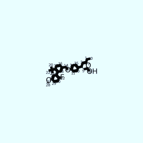 CC/C=C/[C@H](CC(=O)O)c1ccc(OCc2ccc(C(C)(C)C)c(-c3cc(OC)ccc3F)c2)cc1